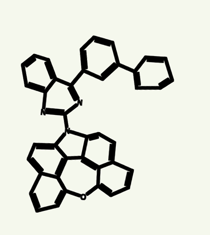 c1ccc(-c2cccc(-c3nc(-n4c5ccc6cccc7oc8cccc9ccc4c(c98)c5c67)nc4ccccc34)c2)cc1